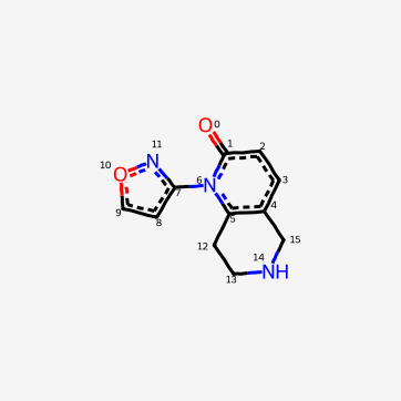 O=c1ccc2c(n1-c1ccon1)CCNC2